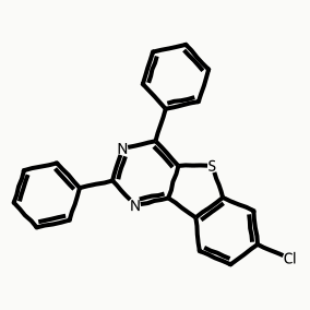 Clc1ccc2c(c1)sc1c(-c3ccccc3)nc(-c3ccccc3)nc12